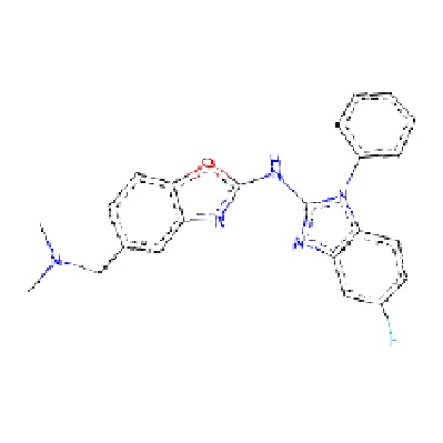 CN(C)Cc1ccc2oc(Nc3nc4cc(F)ccc4n3-c3ccccc3)nc2c1